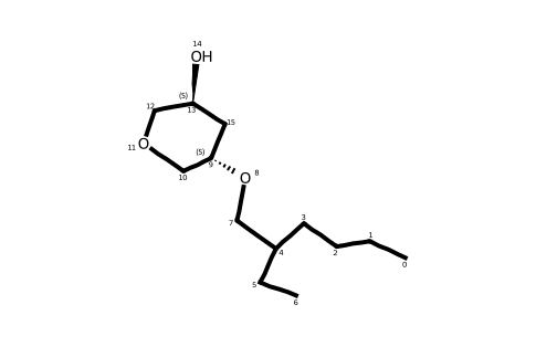 CCCCC(CC)CO[C@@H]1COC[C@@H](O)C1